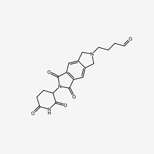 O=CCCCN1Cc2cc3c(cc2C1)C(=O)N(C1CCC(=O)NC1=O)C3=O